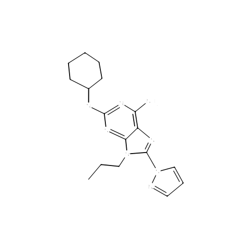 CCCn1c(-n2cccn2)nc2c(N)nc(NC3CCCCC3)nc21